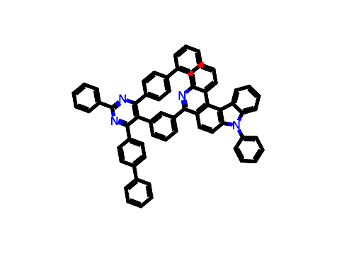 c1ccc(-c2ccc(-c3nc(-c4ccccc4)nc(-c4ccc(-c5ccccc5)cc4)c3-c3cccc(-c4nc5ccccc5c5c4ccc4c5c5ccccc5n4-c4ccccc4)c3)cc2)cc1